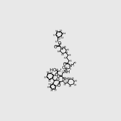 CCN(CC(=O)N[C@@H](CC(=O)O)C(=O)N[C@@H](CC1CCCCC1)C(=O)OC(c1ccccc1)c1ccccc1)C(=O)CCCC1CCN(C(=O)OCc2ccccc2)CC1